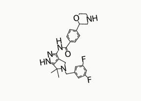 CC1(C)c2[nH]nc(NC(=O)c3ccc(C4CNCCO4)cc3)c2CN1Cc1cc(F)cc(F)c1